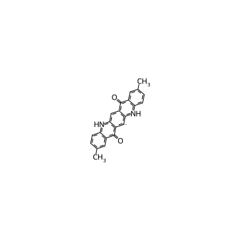 Cc1ccc2[nH]c3cc4c(=O)c5cc(C)ccc5[nH]c4[c]c3c(=O)c2c1